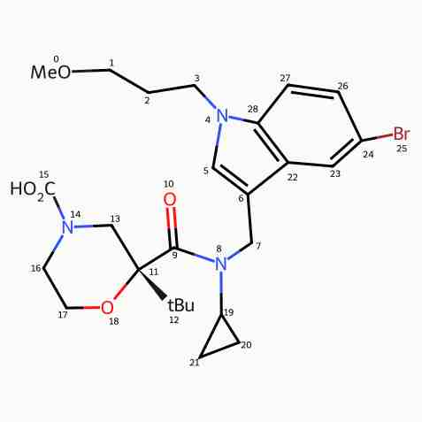 COCCCn1cc(CN(C(=O)[C@@]2(C(C)(C)C)CN(C(=O)O)CCO2)C2CC2)c2cc(Br)ccc21